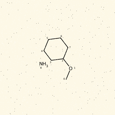 COC1CCCCC1.N